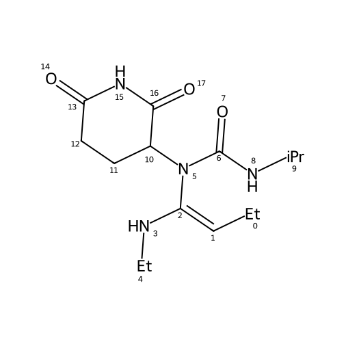 CC/C=C(/NCC)N(C(=O)NC(C)C)C1CCC(=O)NC1=O